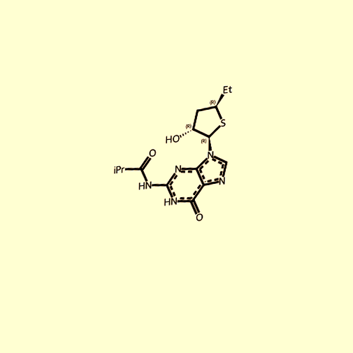 CC[C@@H]1C[C@@H](O)[C@H](n2cnc3c(=O)[nH]c(NC(=O)C(C)C)nc32)S1